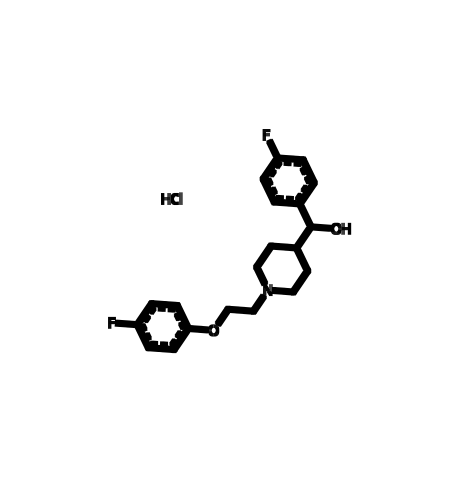 Cl.OC(c1ccc(F)cc1)C1CCN(CCOc2ccc(F)cc2)CC1